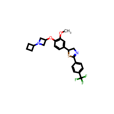 COc1cc(C2CN=C(c3ccc(C(F)(F)F)cc3)S2)ccc1OC1CN(C2CCC2)C1